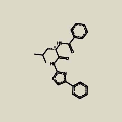 CC(C)C[C@H](NC(=O)c1ccccc1)C(=O)Nc1nc(-c2ccccc2)cs1